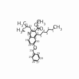 CCCCCCc1c(C(=O)OC)c(CC(C)C)nc2ccc(OCc3ccccc3)cc12